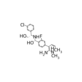 C/C=C\C(=C(\N)NC)c1ccc([C@H](O)N[C@H](CO)c2cccc(Cl)c2)c(F)c1